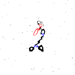 CCOC(=O)[C@@H]1CCCN(CCCCCCN(c2ccccc2)c2ccccc2)C1